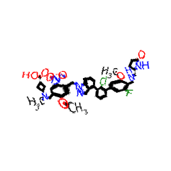 COc1cc(Cn2ncc3c(-c4cccc(-c5cc(F)c(CNC[C@@H]6CCC(=O)N6)c(OC)c5)c4Cl)cccc32)c([N+](=O)[O-])cc1CN(C)[C@H]1C[C@H](C(=O)O)C1